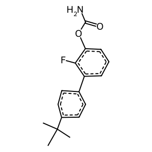 CC(C)(C)c1ccc(-c2cccc(OC(N)=O)c2F)cc1